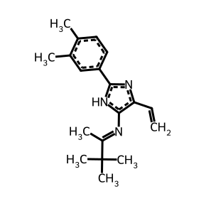 C=Cc1nc(-c2ccc(C)c(C)c2)[nH]c1/N=C(\C)C(C)(C)C